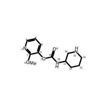 COc1ncccc1OC(=O)NC1CCCNC1